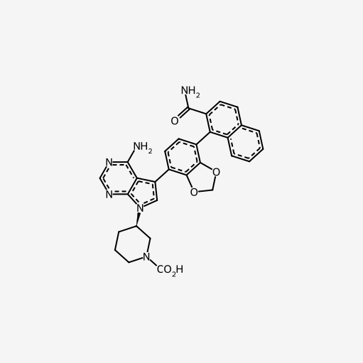 NC(=O)c1ccc2ccccc2c1-c1ccc(-c2cn([C@@H]3CCCN(C(=O)O)C3)c3ncnc(N)c23)c2c1OCO2